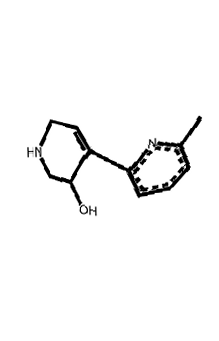 Cc1cccc(C2=CCNCC2O)n1